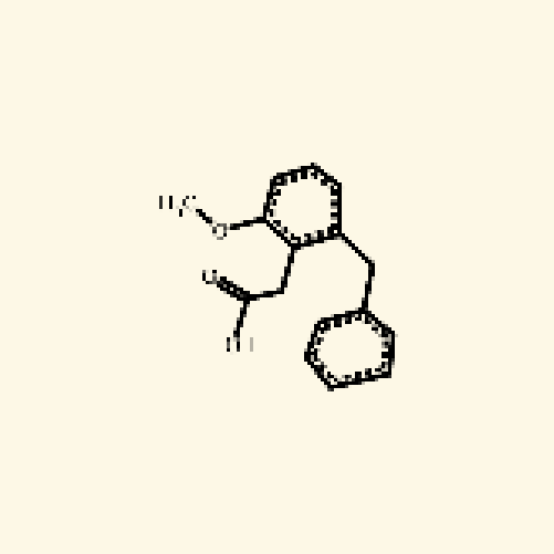 COc1cccc(Cc2ccccc2)c1CC(=O)O